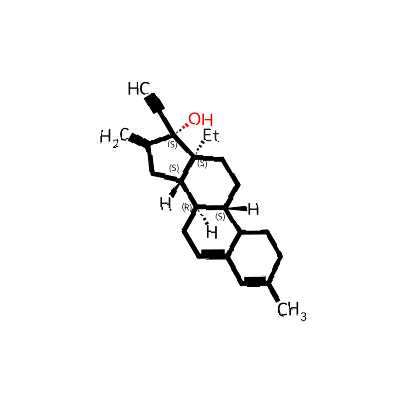 C#C[C@]1(O)C(=C)C[C@H]2[C@@H]3CC=C4C=C(C)CCC4[C@H]3CC[C@@]21CC